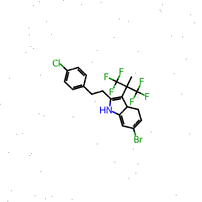 CC(C1=C(CCc2ccc(Cl)cc2)NC2=CC(Br)=CCC21)(C(F)(F)F)C(F)(F)F